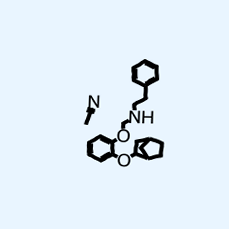 CC#N.c1ccc(CCNCOc2ccccc2OC2CC3CCC2C3)cc1